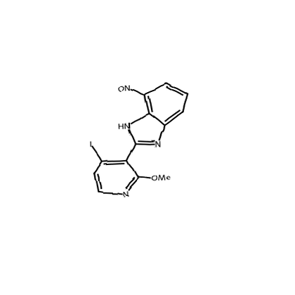 COc1nccc(I)c1-c1nc2cccc(N=O)c2[nH]1